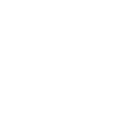 FC(F)(F)OC1CCC2CCCCC2C1